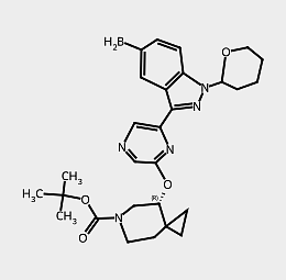 Bc1ccc2c(c1)c(-c1cncc(O[C@H]3CN(C(=O)OC(C)(C)C)CCC34CC4)n1)nn2C1CCCCO1